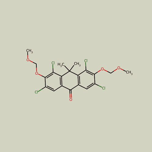 COCOc1c(Cl)cc2c(c1Cl)C(C)(C)c1c(cc(Cl)c(OCOC)c1Cl)C2=O